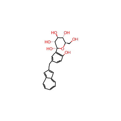 OC[C@H]1O[C@@](O)(c2cc(Cc3cc4cccccc-4c3)ccc2O)[C@H](O)[C@@H](O)[C@@H]1O